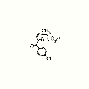 CC1(CC(=O)O)C=CC(C(=O)c2ccc(Cl)cc2)=N1